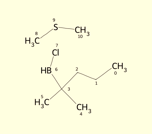 CCCC(C)(C)BCl.CSC